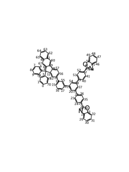 c1ccc(C2(c3ccccc3)c3cc(-c4cccc(-c5cc(-c6ccc(-c7nc8ccccc8o7)cc6)cc(-c6ccc(-c7nc8ccccc8o7)cc6)c5)c4)ccc3-c3cc4ccccc4cc32)cc1